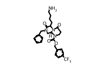 NCCCCC1C(=O)N(Cc2ccccc2)C[C@@H]2N(C(=O)OCc3ccc(C(F)(F)F)cc3)CCC(=O)N12